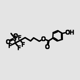 CS(=O)(=O)C(F)(F)C(F)(F)CCCCOC(=O)c1ccc(O)cc1